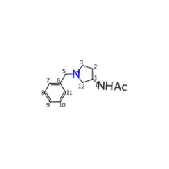 CC(=O)NC1CCN(Cc2ccccc2)C1